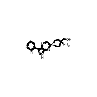 NC1(CO)CCN(c2cnc3c(-c4cccnc4Cl)n[nH]c3n2)CC1